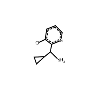 NC(c1ncccc1Cl)C1CC1